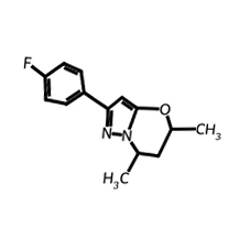 CC1CC(C)n2nc(-c3ccc(F)cc3)cc2O1